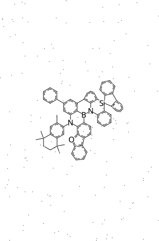 Cc1cc2c(cc1N1c3cc(-c4ccccc4)cc4c3B(c3ccc5c(oc6ccccc65)c31)N1c3ccccc3[Si]3(c5ccccc5-c5ccccc53)c3cccc-4c31)C(C)(C)CCC2(C)C